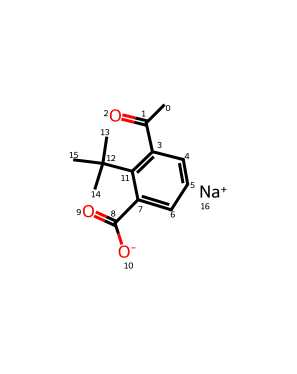 CC(=O)c1cccc(C(=O)[O-])c1C(C)(C)C.[Na+]